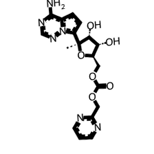 C[C@@]1(c2ccc3c(N)ncnn23)O[C@H](COC(=O)OCc2ncccn2)[C@@H](O)[C@H]1O